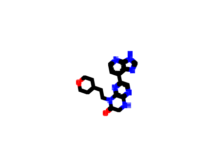 O=C1CNc2ncc(-c3ccnc4[nH]cnc34)nc2N1CCC1CCOCC1